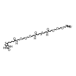 [N-]=[N+]=NCCOCCOCCOCCC(=O)NCCSSCCC(=O)NCCOCCOCCOCCNC(=O)CCCCC1SCC2NC(=O)NC21